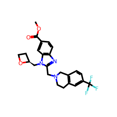 COC(=O)c1ccc2nc(CN3CCc4cc(C(F)(F)F)ccc4C3)n(C[C@@H]3CCO3)c2c1